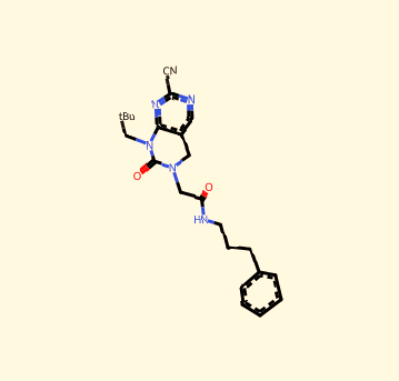 CC(C)(C)CN1C(=O)N(CC(=O)NCCCc2ccccc2)Cc2cnc(C#N)nc21